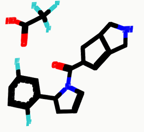 O=C(C1C=C2CNCC2C1)N1C=CCC1c1cc(F)ccc1F.O=C(O)C(F)(F)F